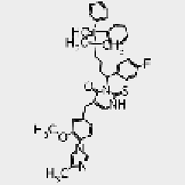 COc1cc(Cc2c[nH]c(=S)n(C(CCCC(C)(C)[Si](O)(c3ccccc3)c3ccccc3)c3ccc(F)cc3)c2=O)ccc1-n1cnc(C)c1